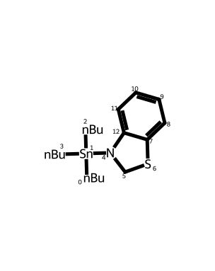 CCC[CH2][Sn]([CH2]CCC)([CH2]CCC)[N]1CSc2ccccc21